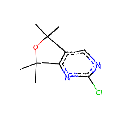 CC1(C)OC(C)(C)c2nc(Cl)ncc21